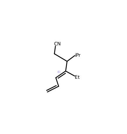 C=C/C=C(\CC)C(CC#N)C(C)C